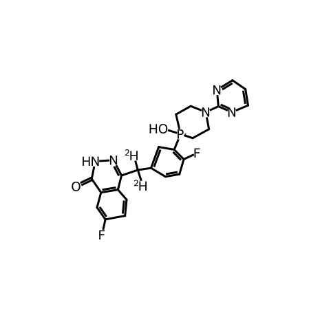 [2H]C([2H])(c1ccc(F)c([P]2(O)CCN(c3ncccn3)CC2)c1)c1n[nH]c(=O)c2cc(F)ccc12